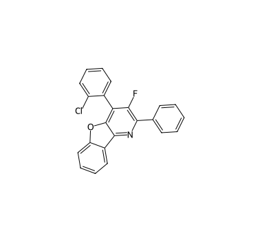 Fc1c(-c2ccccc2)nc2c(oc3ccccc32)c1-c1ccccc1Cl